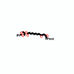 CCCCCC1OC1CC1OC1CCCCCCCC(=O)OC1COC(C(C)C)OC1